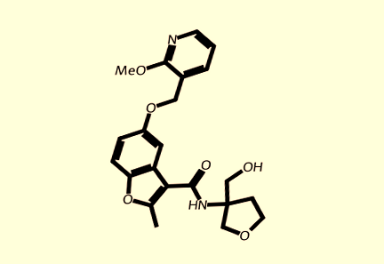 COc1ncccc1COc1ccc2oc(C)c(C(=O)NC3(CO)CCOC3)c2c1